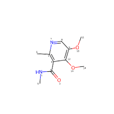 CNC(=O)c1c(C)ncc(OC)c1OC